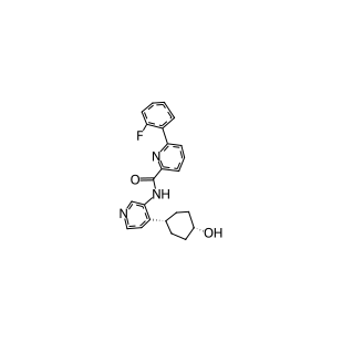 O=C(Nc1cnccc1[C@H]1CC[C@@H](O)CC1)c1cccc(-c2ccccc2F)n1